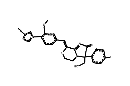 COc1cc(/C=C2\OCCN3C2=NC(=O)C3(CO)c2ccc(F)cc2)ccc1-n1cnc(C)c1